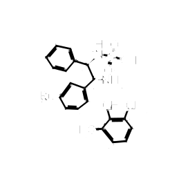 CS(=O)(=O)N[C@H](c1ccccc1)[C@H](N)c1ccccc1.Cc1cccc(C)c1C.[Ru]